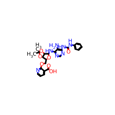 CC1(C)OC2C(COc3ncccc3C(=O)O)OC(Nc3ncnc(NC(=O)Nc4ccccc4)c3N)C2O1